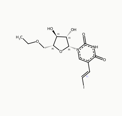 CCOC[C@H]1O[C@@H](n2cc(/C=C/I)c(=O)[nH]c2=O)[C@@H](O)[C@@H]1O